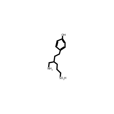 NCC(CCCS(=O)(=O)O)CCc1ccc(O)cc1